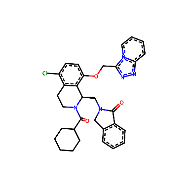 O=C1c2ccccc2CN1C[C@@H]1c2c(OCc3nnc4ccccn34)ccc(Cl)c2CCN1C(=O)C1CCCCC1